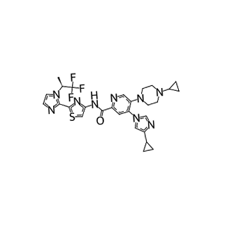 C[C@H](n1ccnc1-c1nc(NC(=O)c2cc(-n3cnc(C4CC4)c3)c(N3CCN(C4CC4)CC3)cn2)cs1)C(F)(F)F